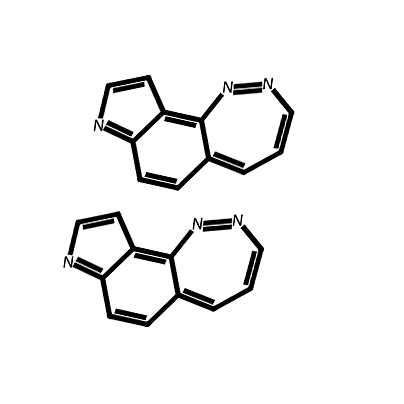 c1cnnc2c(c1)ccc1nccc12.c1cnnc2c(c1)ccc1nccc12